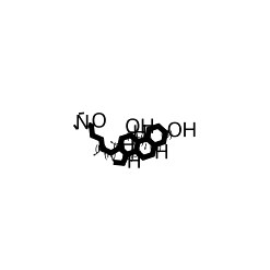 C[C@H](CCC(=O)N(C)C)[C@H]1CC[C@H]2[C@@H]3CC[C@H]4C[C@@H](O)CC[C@]4(C)[C@H]3[C@@H](O)C[C@]12C